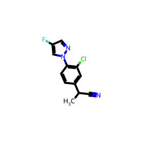 CC(C#N)c1ccc(-n2cc(F)cn2)c(Cl)c1